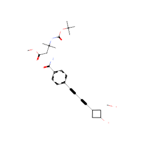 COC(=O)[C@@H](NC(=O)c1ccc(C#CC#CC2CC(O)[C@H]2CO)cc1)C(C)(C)NC(=O)OC(C)(C)C